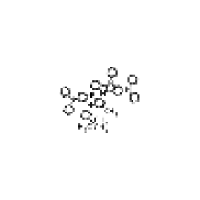 Cc1cc2c3c(c1)-n1c4c(cccc4c4c1c1ccc(N(c5ccccc5)c5ccccc5)cc1n4-c1ccccc1)B3c1ccc(N(c3ccccc3)c3ccccc3)cc1N2c1cccc(C(C)(C)C)c1